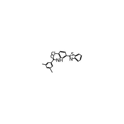 Cc1cc(C)cc(C(=O)Nc2cc(-c3nc4ccccc4s3)ccc2Cl)c1